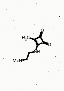 CNCCNc1c(C)c(=O)c1=O